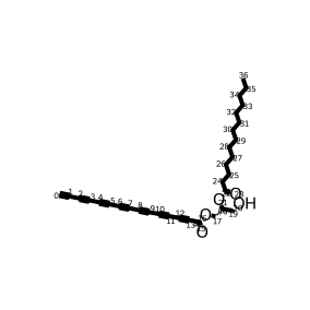 C#CC#CC#CC#CC#CC#CC#CC(=O)OC[C@@H](CO)OC(=O)CCCCCCCCCCCCC